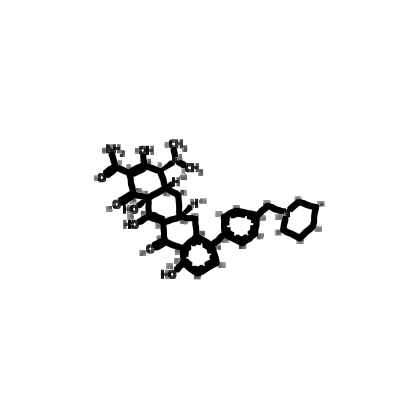 CN(C)[C@@H]1C(O)=C(C(N)=O)C(=O)[C@@]2(O)C(O)=C3C(=O)c4c(O)ccc(-c5ccc(CN6CCCCC6)cc5)c4C[C@H]3C[C@@H]12